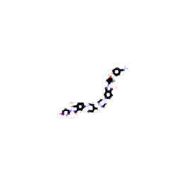 CC1(C)[C@H](Oc2ccc(C#N)c(Cl)c2)C(C)(C)[C@H]1N1Cc2cc(N3CCN(CC4CCN(c5ccc6c(c5)C(=O)N(C5CCC(=O)NC5=O)C6=O)CC4)CC3)ccc2C1=O